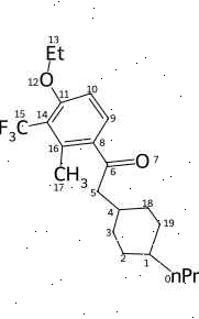 CCCC1CCC(CC(=O)c2ccc(OCC)c(C(F)(F)F)c2C)CC1